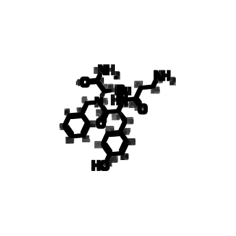 CC[C@H](C)[C@@H](C(N)=O)N(Cc1ccccc1)C(=O)[C@H](Cc1ccc(O)cc1)NC(=O)CCN